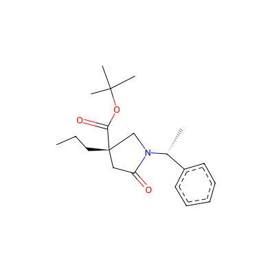 CCC[C@]1(C(=O)OC(C)(C)C)CC(=O)N([C@H](C)c2ccccc2)C1